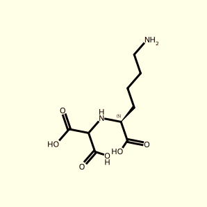 NCCCC[C@H](NC(C(=O)O)C(=O)O)C(=O)O